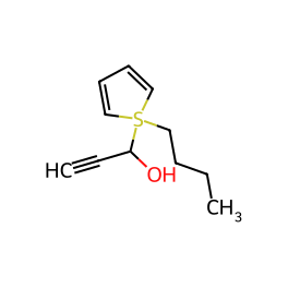 C#CC(O)S1(CCCC)C=CC=C1